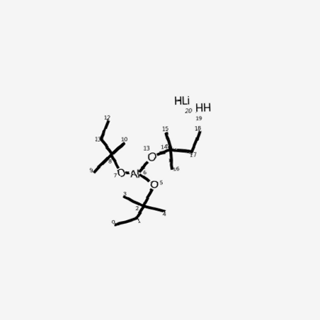 CCC(C)(C)[O][Al]([O]C(C)(C)CC)[O]C(C)(C)CC.[HH].[LiH]